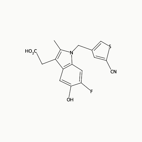 Cc1c(CC(=O)O)c2cc(O)c(F)cc2n1Cc1csc(C#N)c1